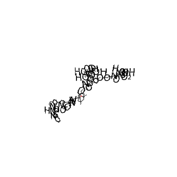 Cc1c(-c2ccc(-c3ccc4c(c3)N(C(=O)Nc3nc5ccccc5s3)CCC4)nc2C(=O)O)cnn1CC12CC3(C)CC(C)(C1)CC(OCCN(C)C(=O)OCc1ccc(OCCOCCNC(=O)[C@@H](N)CS(=O)(=O)O)cc1O[C@@H]1O[C@H](C(=O)O)[C@@H](O)[C@H](O)[C@H]1O)(C3)C2